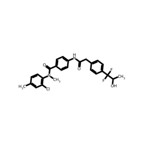 Cc1ccc(N(C)C(=O)c2ccc(NC(=O)Cc3ccc(C(F)(F)C(C)O)cc3)cc2)c(Cl)c1